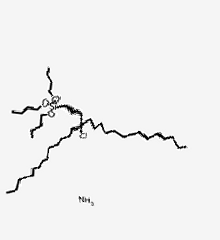 CCCCCCCCCCCCCC(Cl)(CCCCCCCCCCCCC)CCC[Si](OCCCC)(OCCCC)OCCCC.N